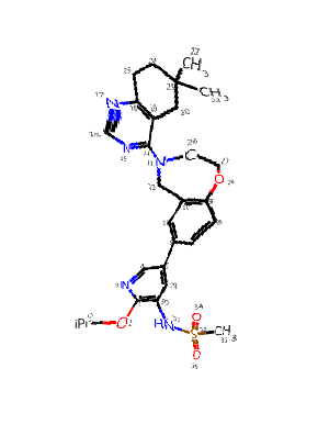 CC(C)Oc1ncc(-c2ccc3c(c2)CN(c2ncnc4c2CC(C)(C)CC4)CCO3)cc1NS(C)(=O)=O